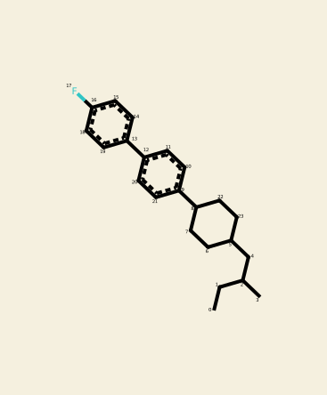 CCC(C)CC1CCC(c2ccc(-c3ccc(F)cc3)cc2)CC1